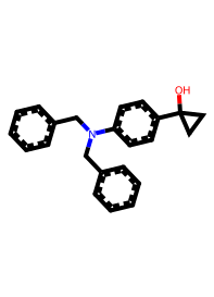 OC1(c2ccc(N(Cc3ccccc3)Cc3ccccc3)cc2)CC1